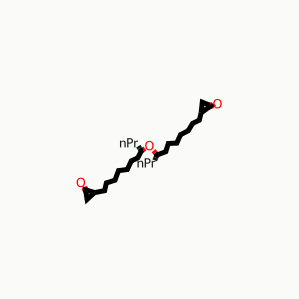 CCCC(CCCCCCCC1CC1=O)OC(CCC)CCCCCCCC1CC1=O